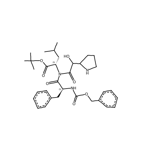 CC(C)C[C@@H](C(=O)OC(C)(C)C)N(C(=O)C(O)C1CCCN1)C(=O)[C@H](Cc1ccccc1)NC(=O)OCc1ccccc1